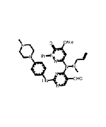 C=CCN(C)N(c1cc(OC)c(=O)n(C(C)C)n1)c1nc(Nc2ccc(N3CCN(C)CC3)cc2)ncc1C=O